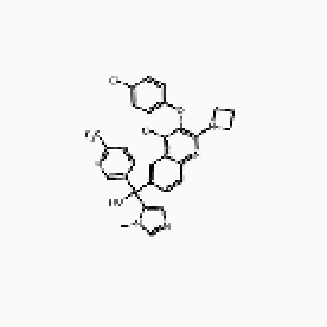 Cn1cncc1C(O)(c1ccc(C(F)(F)F)nc1)c1ccc2nc(N3CCC3)c(Oc3ccc(Cl)cc3)c(Cl)c2c1